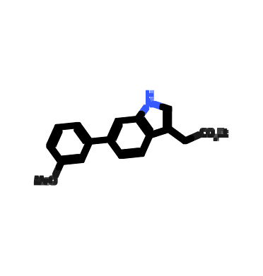 CCOC(=O)Cc1c[nH]c2cc(-c3cccc(OC)c3)ccc12